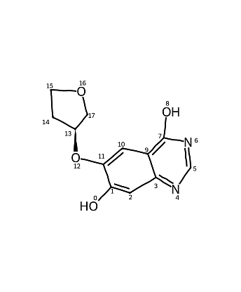 Oc1cc2ncnc(O)c2cc1O[C@H]1CCOC1